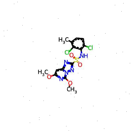 COc1cc2nc(S(=O)(=O)Nc3c(Cl)ccc(C)c3Cl)nn2c(OC)n1